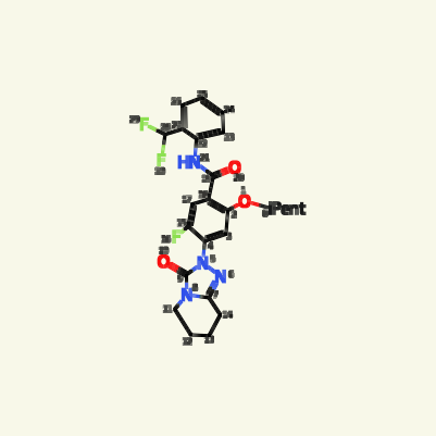 CCCC(C)Oc1cc(-n2nc3n(c2=O)CCCC3)c(F)cc1C(=O)Nc1ccccc1C(F)F